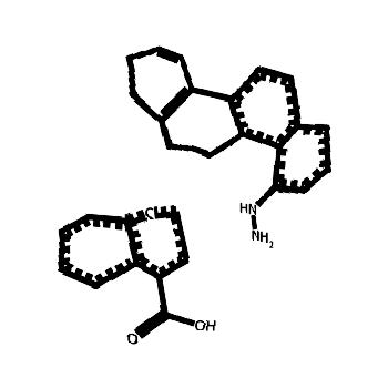 NNc1cccc2ccc3c(c12)CCC1=C3C=CCC1.O=C(O)c1cccc2ccccc12